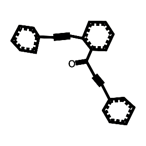 O=C(C#Cc1ccccc1)c1ccccc1C#Cc1ccccc1